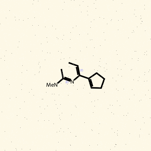 C/C=C(\N=C(/C)NC)C1=CCCC1